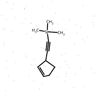 C[Si](C)(C)C#CC1C=CCC1